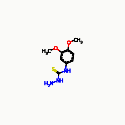 COc1ccc(NC(=S)NN)cc1OC